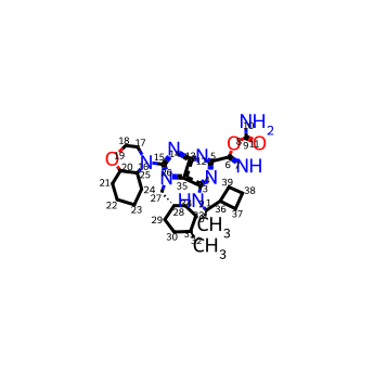 C[C@@H](Nc1nc(C(=N)OC(N)=O)nc2nc(N3CCOC4CCCCC43)n(C[C@H]3CC[C@H](C)CC3)c12)C1CCC1